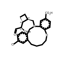 C=C[C@H](OC)[C@@H]1CC[C@H]1CN1Cc2ccc(Cl)cc2CCCCOc2ccc(C(=O)O)cc21